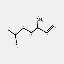 C=CC(N)CCC(C)F